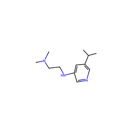 CC(C)c1cncc(NCCN(C)C)c1